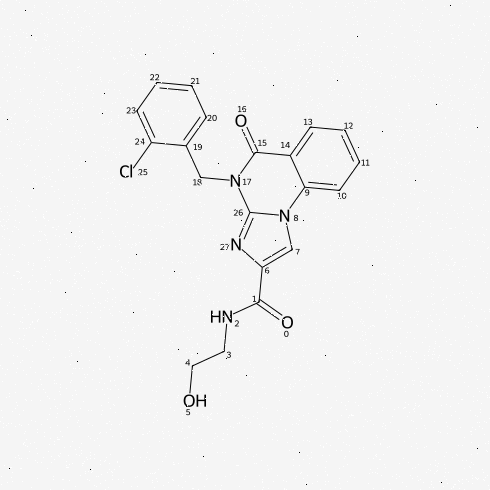 O=C(NCCO)c1cn2c3ccccc3c(=O)n(Cc3ccccc3Cl)c2n1